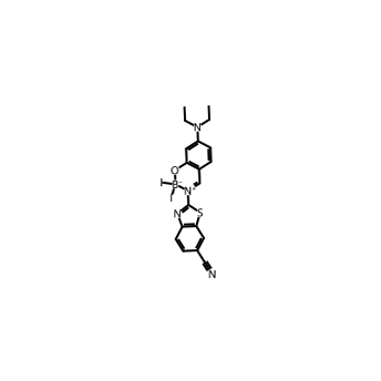 CCN(CC)c1ccc2c(c1)O[B-](I)(I)[N+](c1nc3ccc(C#N)cc3s1)=C2